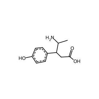 CC(N)C(CC(=O)O)c1ccc(O)cc1